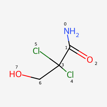 NC(=O)C(Cl)(Cl)CO